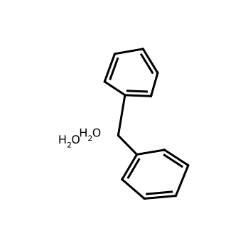 O.O.c1ccc(Cc2ccccc2)cc1